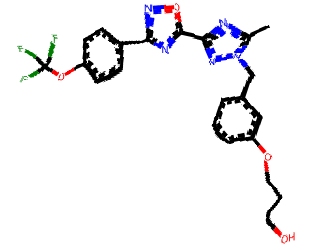 Cc1nc(-c2nc(-c3ccc(OC(F)(F)F)cc3)no2)nn1Cc1cccc(OCCCO)c1